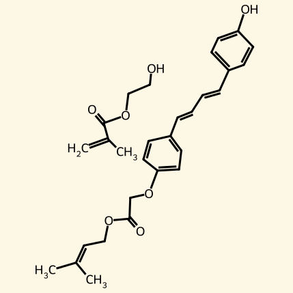 C=C(C)C(=O)OCCO.CC(C)=CCOC(=O)COc1ccc(C=CC=Cc2ccc(O)cc2)cc1